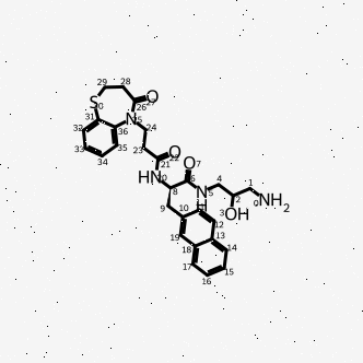 NCC(O)CNC(=O)[C@@H](Cc1ccc2ccccc2c1)NC(=O)CCN1C(=O)CCSc2ccccc21